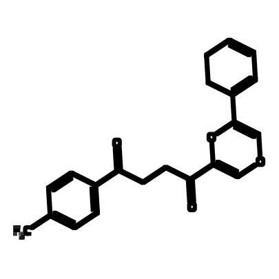 O=C(CCC(=O)c1ccc(C(F)(F)F)cc1)C1=COC=C(C2=CC=CCC2)O1